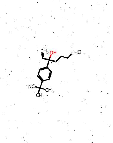 C=CC(O)(CCCC=O)c1ccc(C(C)(C)C#N)cc1